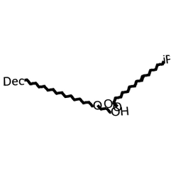 CCCCCCCCCCCCCCCCCCCCCCCCCCOCC(CO)OC(=O)CCCCCCCC=CCCCCCC(C)C